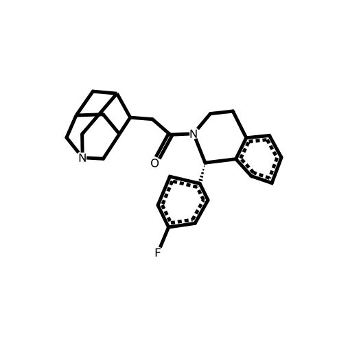 O=C(CC1C2CC3CC1CN(C3)C2)N1CCc2ccccc2[C@@H]1c1ccc(F)cc1